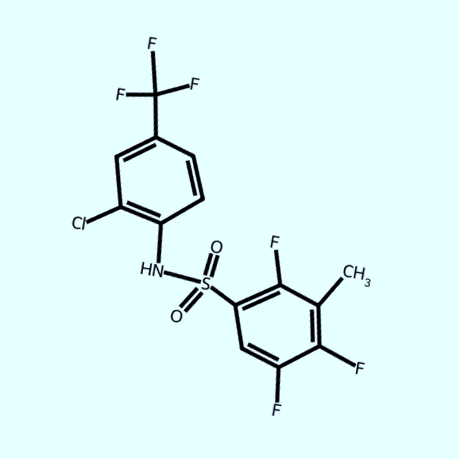 Cc1c(F)c(F)cc(S(=O)(=O)Nc2ccc(C(F)(F)F)cc2Cl)c1F